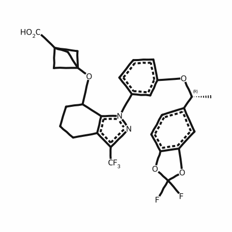 C[C@@H](Oc1cccc(-n2nc(C(F)(F)F)c3c2C(OC24CC(C(=O)O)(C2)C4)CCC3)c1)c1ccc2c(c1)OC(F)(F)O2